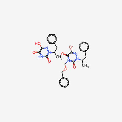 CC(Cc1ccccc1)n1nc(Br)c(=O)n(COCc2ccccc2)c1=O.CC(Cc1ccccc1)n1nc(O)c(=O)[nH]c1=O